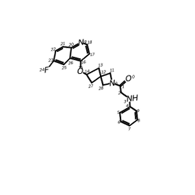 O=C(CNc1ccccc1)N1CC2(CC(Oc3ccnc4ccc(F)cc34)C2)C1